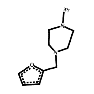 CC(C)N1CCN(Cc2ccco2)CC1